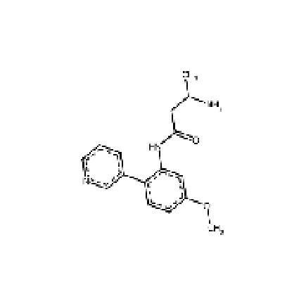 COc1ccc(-c2cccnc2)c(NC(=O)CC(C)N)c1